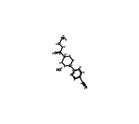 Cl.N#Cc1cnc(N2CCN(C(=O)CON)CC2)nc1